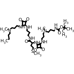 CCCCN(C)CCCNC1C(=O)C(=O)C1NCCCNC(=O)C(CCSC)Nc1c(NCCCN(C)CCCNC(=O)OC(C)(C)C)c(=O)c1=O